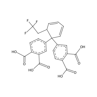 O=C(O)c1ccc(C2(c3ccc(C(=O)O)c(C(=O)O)c3)C=CC=CC2CC(F)(F)F)cc1C(=O)O